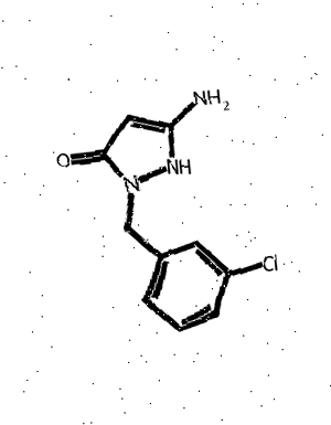 Nc1cc(=O)n(Cc2cccc(Cl)c2)[nH]1